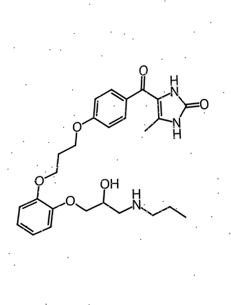 CCCNCC(O)COc1ccccc1OCCCOc1ccc(C(=O)c2[nH]c(=O)[nH]c2C)cc1